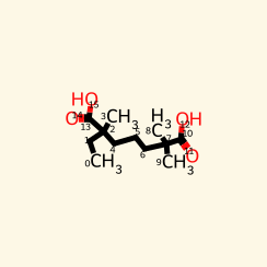 CCC(C)(CCCC(C)(C)C(=O)O)C(=O)O